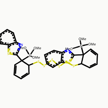 CO[Si](OC)(OC)C1(c2nc3ccccc3s2)C=CC=CC1SSSSSSC1C=CC=CC1(c1nc2ccccc2s1)[Si](OC)(OC)OC